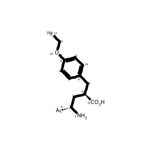 CC(=O)[C@@H](N)C[C@@H](Cc1ccc(OC[18F])cc1)C(=O)O